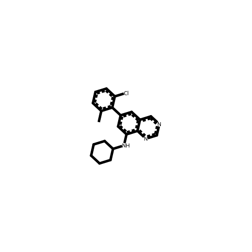 Cc1cccc(Cl)c1-c1cc(NC2CCCCC2)c2ncncc2c1